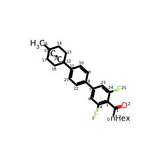 CCCCCCC(=O)c1c(F)cc(-c2ccc(C34CCC(C)(CC3)CC4)cc2)cc1F